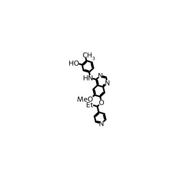 CCC(Oc1cc2ncnc(Nc3ccc(C)c(O)c3)c2cc1OC)c1ccncc1